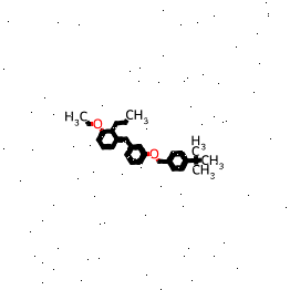 CCCC1C(=Cc2cccc(OCc3ccc(C(C)(C)C)cc3)c2)C=CC=C1OCC